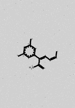 C=C(N)/C(=C\C=C/C)c1cc(C)cc(C)c1